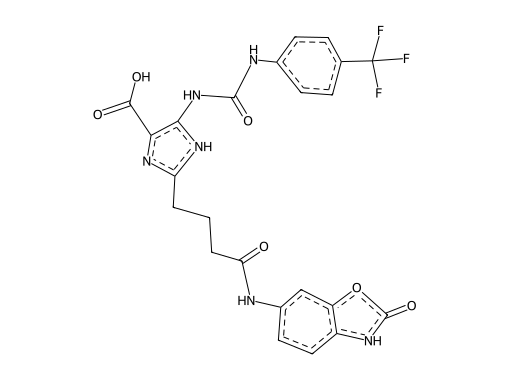 O=C(CCCc1nc(C(=O)O)c(NC(=O)Nc2ccc(C(F)(F)F)cc2)[nH]1)Nc1ccc2[nH]c(=O)oc2c1